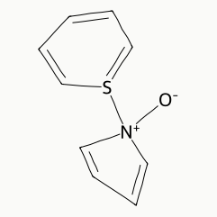 [O-][N+]1(S2=CC=CC=C2)C=CC=C1